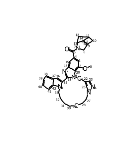 COc1cc(C(=O)N2CC3CC4CC2[C@H]43)cc2nc3n(c12)Cc1cnn(c1)CCCCCCCn1c-3cc2ccccc21